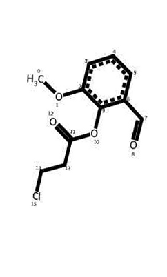 COc1cccc(C=O)c1OC(=O)CCCl